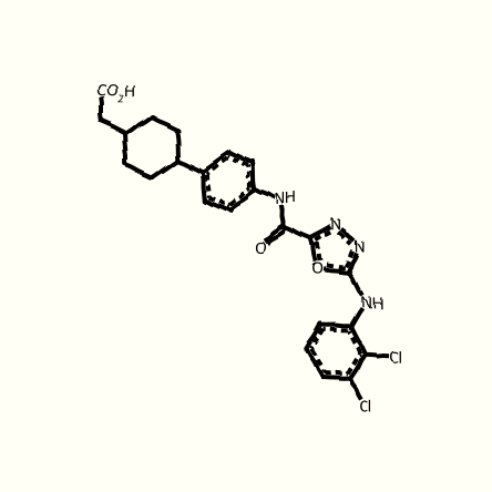 O=C(O)CC1CCC(c2ccc(NC(=O)c3nnc(Nc4cccc(Cl)c4Cl)o3)cc2)CC1